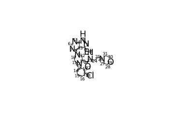 CCc1n[nH]c2ncnc(N3CCN(c4cccc(Cl)c4)C(C(=O)NCCN4CCOCC4)C3)c12